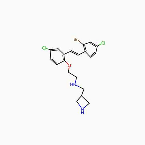 Clc1ccc(/C=C/c2cc(Cl)ccc2OCCNCC2CNC2)c(Br)c1